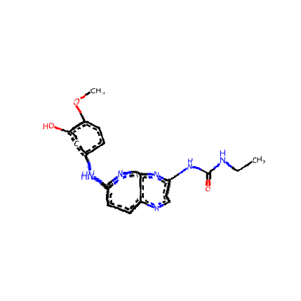 CCNC(=O)Nc1cnc2ccc(Nc3ccc(OC)c(O)c3)nc2n1